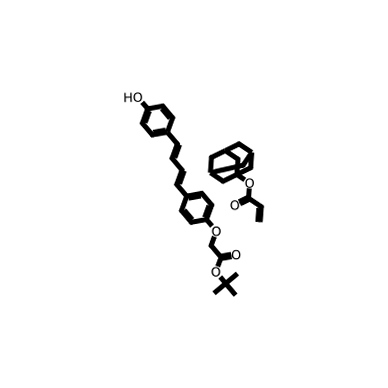 C=CC(=O)OC12CC3CC(CC(C3)C1)C2.CC(C)(C)OC(=O)COc1ccc(C=CC=Cc2ccc(O)cc2)cc1